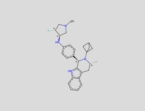 CCCN1C[C@@H](F)[C@H](Nc2ccc([C@@H]3c4[nH]c5ccccc5c4C[C@@H](C)N3C34CC(C3)C4)cc2)C1